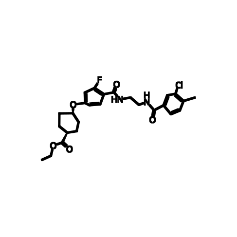 CCOC(=O)[C@H]1CC[C@@H](Oc2ccc(C(=O)NCCNC(=O)c3ccc(C)c(Cl)c3)c(F)c2)CC1